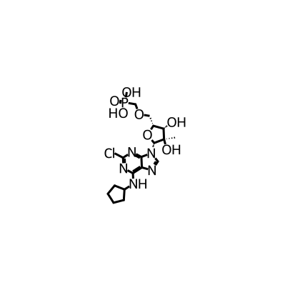 C[C@@]1(O)[C@@H](O)[C@@H](COCP(=O)(O)O)O[C@H]1n1cnc2c(NC3CCCC3)nc(Cl)nc21